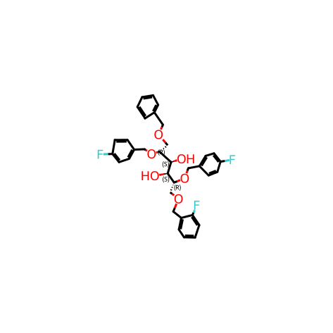 O[C@@H]([C@H](O)[C@@H](COCc1ccccc1F)OCc1ccc(F)cc1)[C@@H](COCc1ccccc1)OCc1ccc(F)cc1